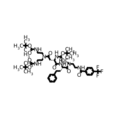 CN(CCNC(=O)c1ccc(C(F)(F)F)cc1)C(=O)[C@H](CCc1ccccc1)NC(=O)[C@H](CC(=O)N(CCNC(=O)OC(C)(C)C)CCNC(=O)OC(C)(C)C)NC(=O)OC(C)(C)C